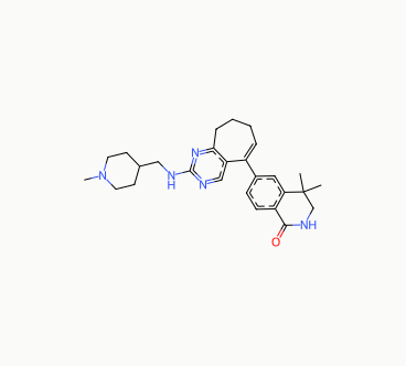 CN1CCC(CNc2ncc3c(n2)CCCC=C3c2ccc3c(c2)C(C)(C)CNC3=O)CC1